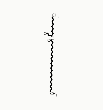 CCCCCCCCCCCCCCCCCCCCCCCC(=O)OC(CC=O)CCCCCCCCC